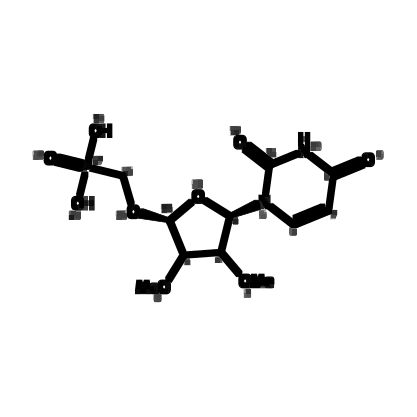 COC1C(OC)[C@H](n2ccc(=O)[nH]c2=O)O[C@@H]1OCP(=O)(O)O